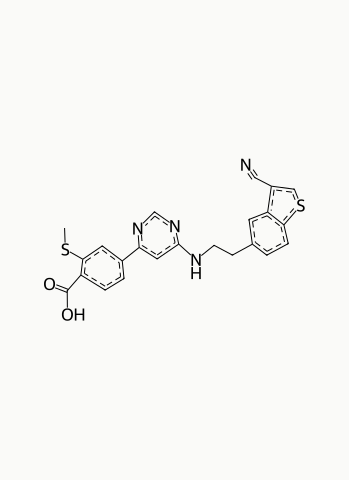 CSc1cc(-c2cc(NCCc3ccc4scc(C#N)c4c3)ncn2)ccc1C(=O)O